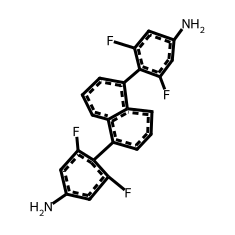 Nc1cc(F)c(-c2cccc3c(-c4c(F)cc(N)cc4F)cccc23)c(F)c1